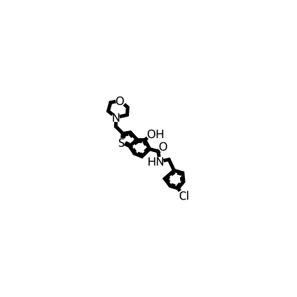 O=C(NCc1ccc(Cl)cc1)c1ccc2sc(CN3CCOCC3)cc2c1O